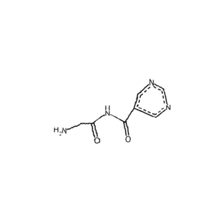 NCC(=O)NC(=O)c1cncnc1